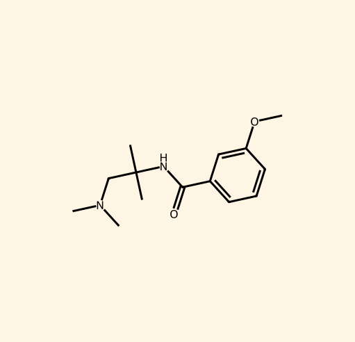 COc1cccc(C(=O)NC(C)(C)CN(C)C)c1